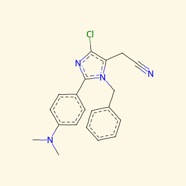 CN(C)c1ccc(-c2nc(Cl)c(CC#N)n2Cc2ccccc2)cc1